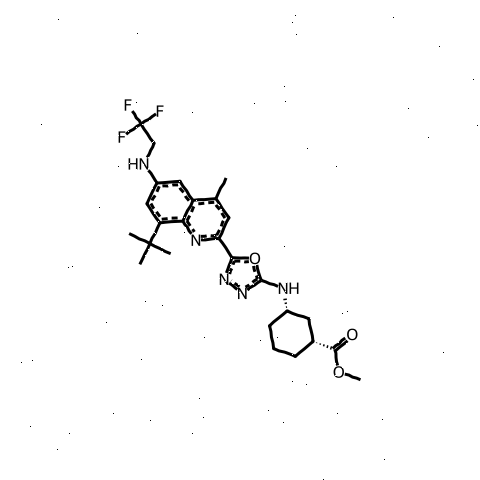 COC(=O)[C@@H]1CCC[C@H](Nc2nnc(-c3cc(C)c4cc(NCC(F)(F)F)cc(C(C)(C)C)c4n3)o2)C1